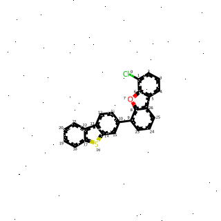 Clc1cccc2c1oc1c(-c3ccc4c(c3)sc3ccccc34)cccc12